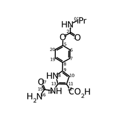 CC(C)NC(=O)Oc1ccc(-c2cc(C(=O)O)c(NC(N)=O)[nH]2)cc1